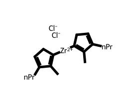 CCCC1=CC[C]([Zr+2][C]2=C(C)C(CCC)=CC2)=C1C.[Cl-].[Cl-]